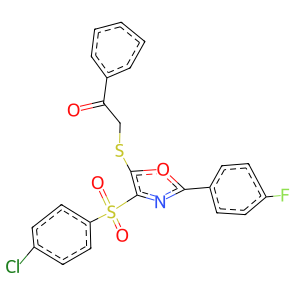 O=C(CSc1oc(-c2ccc(F)cc2)nc1S(=O)(=O)c1ccc(Cl)cc1)c1ccccc1